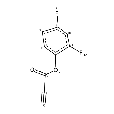 C#CC(=O)Oc1ccc(F)cc1F